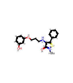 CC(C)(C)n1sc(-c2ccccc2)c(NCCCOc2cccc(O)c2)c1=O